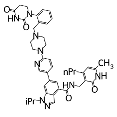 CCCc1cc(C)[nH]c(=O)c1CNC(=O)c1cc(-c2ccc(N3CCN(Cc4ccccc4N4CCC(=O)NC4=O)CC3)nc2)cc2c1cnn2C(C)C